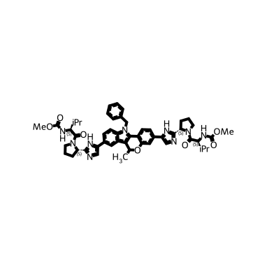 COC(=O)N[C@H](C(=O)N1CCC[C@H]1c1ncc(-c2ccc3c(c2)OC(C)c2c-3n(Cc3ccccc3)c3ccc(-c4cnc([C@@H]5CCCN5C(=O)[C@@H](NC(=O)OC)C(C)C)[nH]4)cc23)[nH]1)C(C)C